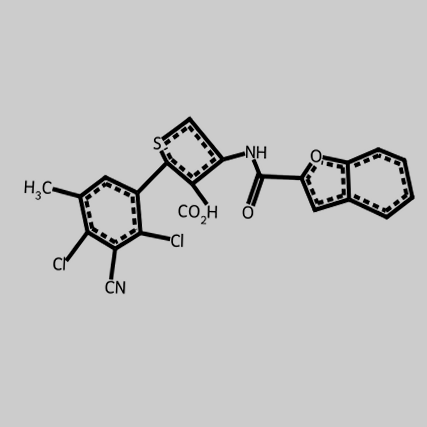 Cc1cc(-c2scc(NC(=O)c3cc4ccccc4o3)c2C(=O)O)c(Cl)c(C#N)c1Cl